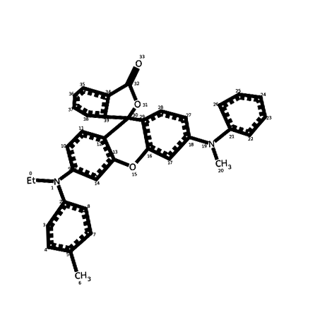 CCN(c1ccc(C)cc1)c1ccc2c(c1)Oc1cc(N(C)c3ccccc3)ccc1C21OC(=O)c2ccccc21